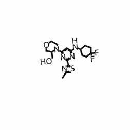 Cc1csc(-c2nc(NC3CCC(F)(F)CC3)cc(N3CCOCC3CO)n2)n1